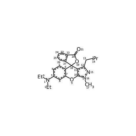 CCN(CC)c1ccc2c(c1)Oc1c(c(CC(C)C)nn1C)C21OC(=O)c2ccccc21